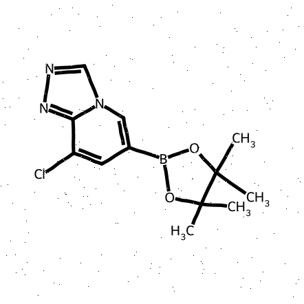 CC1(C)OB(c2cc(Cl)c3nncn3c2)OC1(C)C